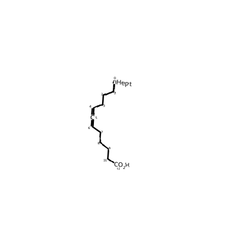 CCCCCCCCCCC=C=CCCCCC(=O)O